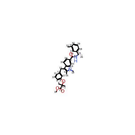 COC(=O)C(C)(C)Oc1cccc(Cc2c(C)n(C)c3cc(C(=O)N[C@@H](C)c4cccc(C)c4)ccc23)c1